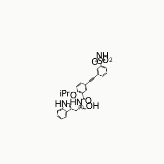 CC(C)Oc1ccc(C#Cc2cccc(S(N)(=O)=O)c2)cc1C(=O)N[C@@H](CO)Cc1c[nH]c2ccccc12